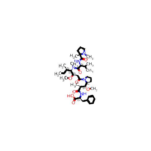 CC[C@H](C)[C@@H]([C@@H](CC(=O)N1CCC[C@H]1[C@H](OC)[C@@H](C)C(=O)N[C@@H](Cc1ccccc1)C(=O)O)OC)N(C)C(=O)[C@@H](NC(=O)[C@]1(C)CCCN1C)C(C)C